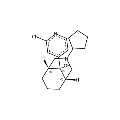 O[C@@]1(c2ccnc(Cl)c2)[C@@H]2CCC[C@H]1CN(C1CCCC1)C2